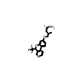 CC(COc1ccc2c(c1)OC(C(F)(F)F)c1cnccc1-2)C[C@H](C)N